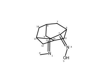 C/N=C1/C(=N\O)C2CC3CC(C2)CC1C3